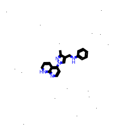 Cc1nn(-c2ccnc3c2C=CCN3)cc1CNc1ccccc1